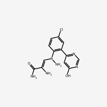 NC(=O)/C(N)=C/N(N)c1ccc(Cl)cc1-c1cc(O)ncn1